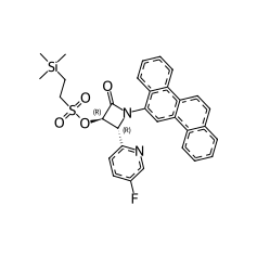 C[Si](C)(C)CCS(=O)(=O)O[C@H]1C(=O)N(c2cc3c4ccccc4ccc3c3ccccc23)[C@@H]1c1ccc(F)cn1